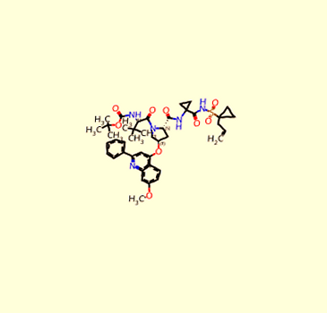 C=CCC1(S(=O)(=O)NC(=O)C2(NC(=O)[C@@H]3C[C@@H](Oc4cc(-c5ccccc5)nc5cc(OC)ccc45)CN3C(=O)[C@@H](NC(=O)OC(C)(C)C)C(C)(C)C)CC2)CC1